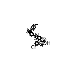 CCN1CCN(c2nn(C)c3ccc(-c4nc5cc(C)c([C@H](OC(C)(C)C)C(=O)O)c(-c6ccc(Cl)cc6)c5s4)cc23)CC1